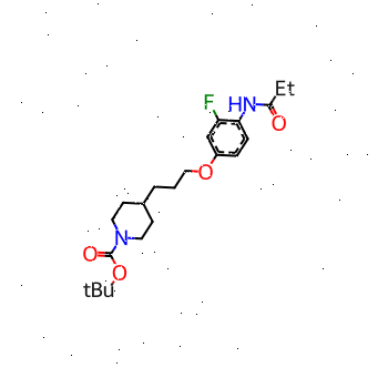 CCC(=O)Nc1ccc(OCCCC2CCN(C(=O)OC(C)(C)C)CC2)cc1F